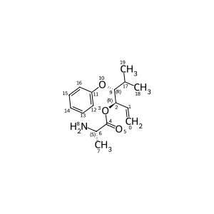 C=C[C@@H](OC(=O)[C@H](C)N)[C@H](Oc1ccccc1)C(C)C